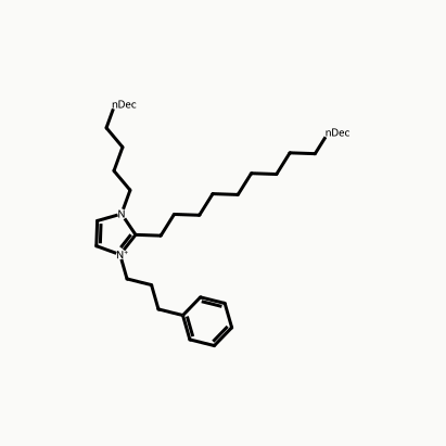 CCCCCCCCCCCCCCCCCCCc1n(CCCCCCCCCCCCCC)cc[n+]1CCCc1ccccc1